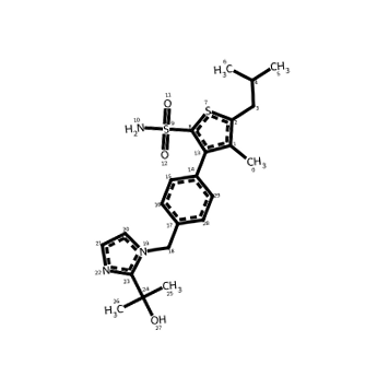 Cc1c(CC(C)C)sc(S(N)(=O)=O)c1-c1ccc(Cn2ccnc2C(C)(C)O)cc1